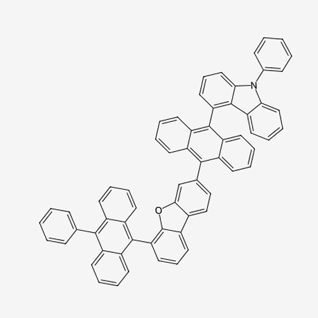 c1ccc(-c2c3ccccc3c(-c3cccc4c3oc3cc(-c5c6ccccc6c(-c6cccc7c6c6ccccc6n7-c6ccccc6)c6ccccc56)ccc34)c3ccccc23)cc1